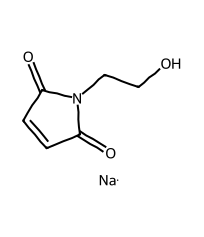 O=C1C=CC(=O)N1CCO.[Na]